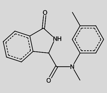 Cc1cccc(N(C)C(=O)C2NC(=O)c3ccccc32)c1